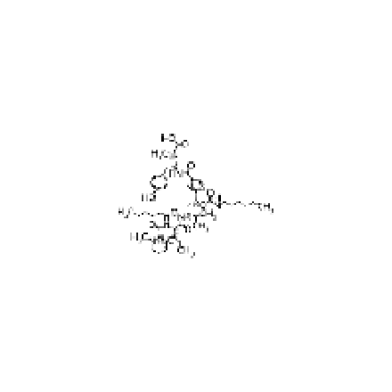 C=C(C)[C@@H](C[C@@H](OC(=O)NCCCCCC)c1nc(C(=O)N[C@@H](Cc2ccc(O)cc2)C[C@H](C)C(=O)O)cs1)N(OCCCCCC)C(=O)[C@@H](NC(=O)[C@H]1CCCCN1C)[C@@H](C)CC